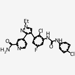 CCn1cc(-c2cc(F)cc(NC(=O)Nc3ccc(Cl)cc3)c2Cl)c(-c2ccnc(C(N)=O)c2)n1